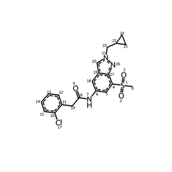 CS(=O)(=O)c1cc(NC(=O)Cc2ccccc2Cl)cc2cn(CC3CC3)nc12